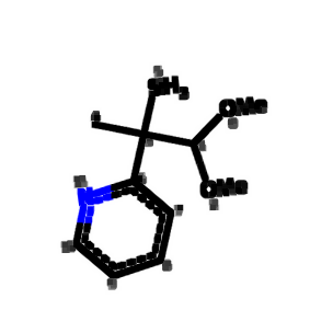 COC(OC)C(C)([SiH3])c1ccccn1